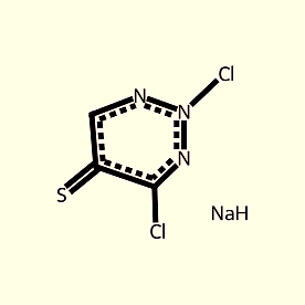 S=c1cnn(Cl)nc1Cl.[NaH]